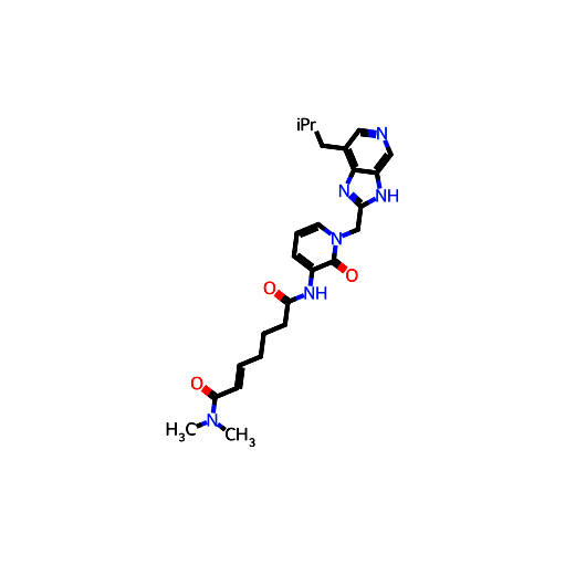 CC(C)Cc1cncc2[nH]c(Cn3cccc(NC(=O)CCC/C=C/C(=O)N(C)C)c3=O)nc12